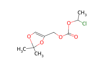 CC(Cl)OC(=O)OCC1=COC(C)(C)O1